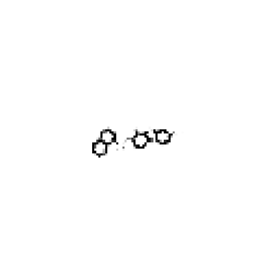 COc1ccc2c(c1)[nH]c1c(C)c(OS(=O)(=O)c3cccc4ccccc34)ccc12